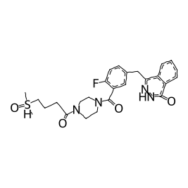 C[SH](C)(=O)CCCC(=O)N1CCN(C(=O)c2cc(Cc3n[nH]c(=O)c4ccccc34)ccc2F)CC1